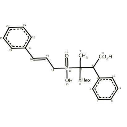 CCCCCCC(C)(C(C(=O)O)c1ccccc1)P(=O)(O)CC=Cc1ccccc1